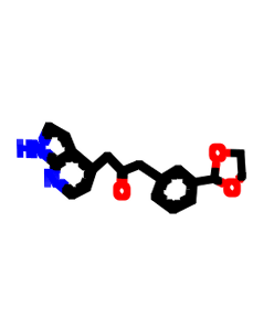 O=C(Cc1cccc(C2OCCO2)c1)Cc1ccnc2[nH]ccc12